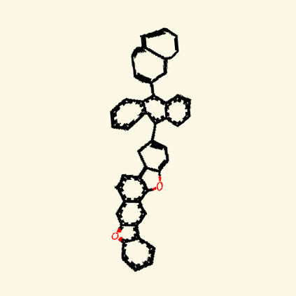 C1=CC2=CC=C(c3c4ccccc4c(C4=CC=C5Oc6c(ccc7cc8oc9ccccc9c8cc67)C5C4)c4ccccc34)CC2C=C1